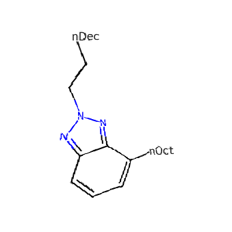 CCCCCCCCCCCCn1nc2cccc(CCCCCCCC)c2n1